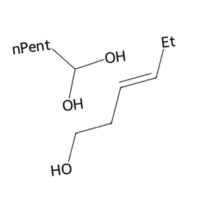 CCC=CCCO.CCCCCC(O)O